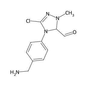 CN1N=C(Cl)N(c2ccc(CN)cc2)C1C=O